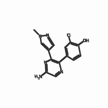 Cn1cc(-c2nc(N)cnc2-c2ccc(O)c(Cl)c2)cn1